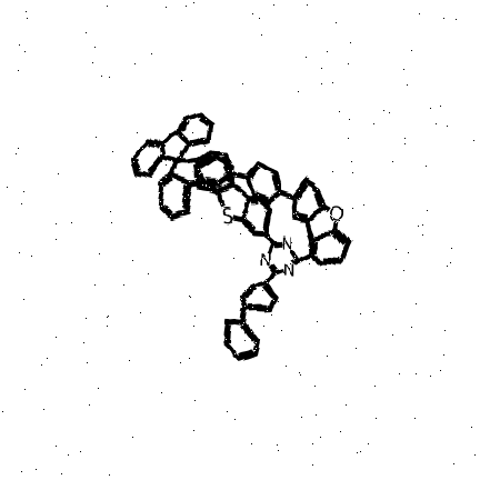 c1ccc(-c2ccc(-c3nc(-c4ccc5c(c4)sc4ccccc45)nc(-c4cccc5oc6ccc(-c7ccc(-c8ccc9c(c8)-c8ccccc8C98c9ccccc9-c9ccccc98)cc7)cc6c45)n3)cc2)cc1